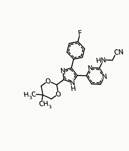 CC1(C)COC(c2nc(-c3ccc(F)cc3)c(-c3ccnc(NCC#N)n3)[nH]2)OC1